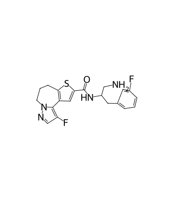 NCC(Cc1cccc(F)c1)NC(=O)c1cc2c(s1)CCCn1ncc(F)c1-2